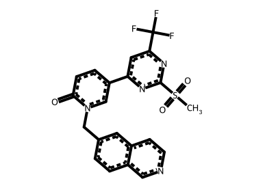 CS(=O)(=O)c1nc(-c2ccc(=O)n(Cc3ccc4cnccc4c3)c2)cc(C(F)(F)F)n1